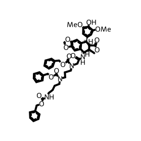 COc1cc([C@@H]2c3cc4c(cc3[C@@H](NC(=O)CN(CCCN(CCCCNC(=O)OCc3ccccc3)C(=O)OCc3ccccc3)C(=O)OCc3ccccc3)[C@H]3COC(=O)[C@H]23)OCO4)cc(OC)c1O